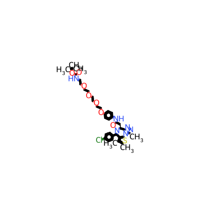 Cc1sc2c(c1C)C(c1ccc(Cl)cc1)=N[C@@H](CC(=O)Nc1ccc(OCCOCCOCCOCCNC(=O)OC(C)(C)C)cc1)c1nnc(C)n1-2